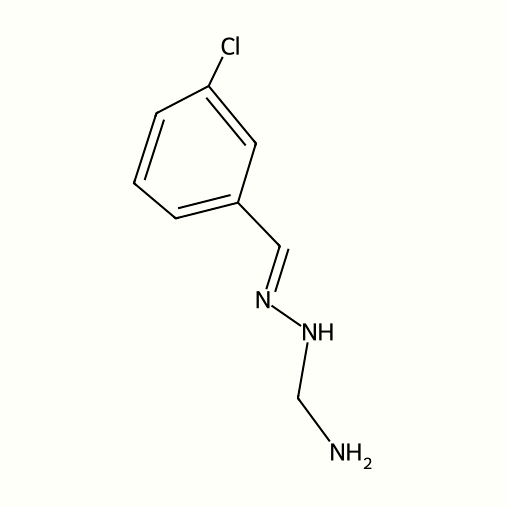 NCN/N=C/c1cccc(Cl)c1